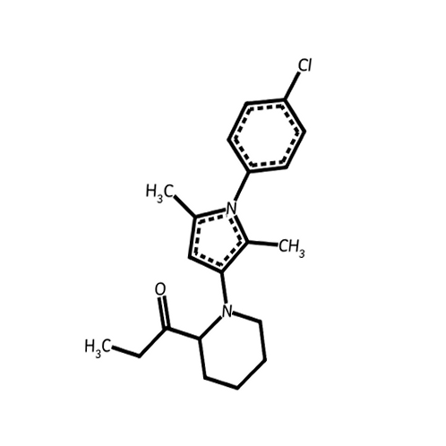 CCC(=O)C1CCCCN1c1cc(C)n(-c2ccc(Cl)cc2)c1C